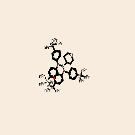 CCC[Si](CCC)(CCC)c1ccc(P(c2ccc([Si](CCC)(CCC)CCC)cc2)N(C2CCOCC2)P(c2ccc([Si](CCC)(CCC)CCC)cc2)c2ccc([Si](CCC)(CCC)CCC)cc2)cc1